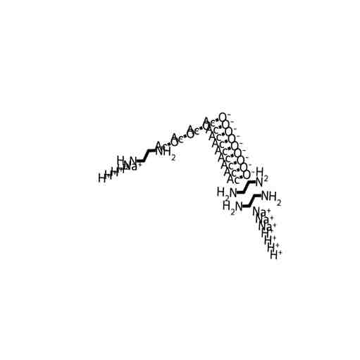 CC(=O)[O-].CC(=O)[O-].CC(=O)[O-].CC(=O)[O-].CC(=O)[O-].CC(=O)[O-].CC(=O)[O-].CC(=O)[O-].CC(=O)[O-].CC(=O)[O-].CC(=O)[O-].CC(=O)[O-].NCCN.NCCN.NCCN.[H+].[H+].[H+].[H+].[H+].[H+].[H+].[H+].[Na+].[Na+].[Na+].[Na+]